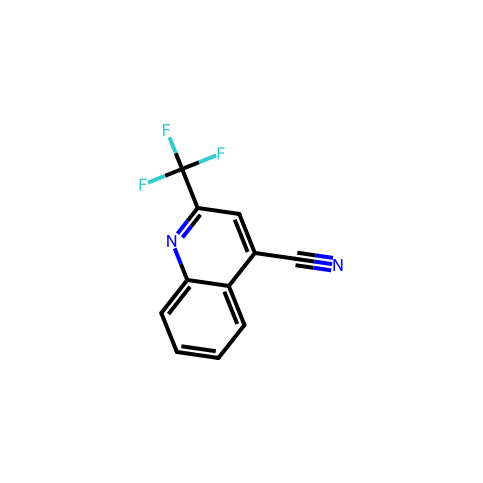 N#Cc1cc(C(F)(F)F)nc2ccccc12